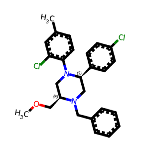 COC[C@H]1CN(c2ccc(C)cc2Cl)[C@@H](c2ccc(Cl)cc2)CN1Cc1ccccc1